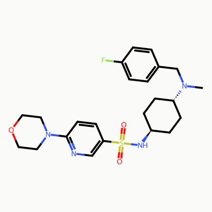 CN(Cc1ccc(F)cc1)[C@H]1CC[C@H](NS(=O)(=O)c2ccc(N3CCOCC3)nc2)CC1